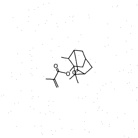 C=C(C)C(=O)OC12CC3CC(C(=O)C(C3)C1(C)C)C2C